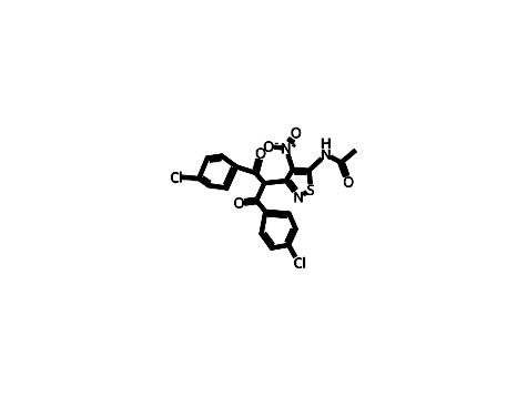 CC(=O)Nc1snc(C(C(=O)c2ccc(Cl)cc2)C(=O)c2ccc(Cl)cc2)c1[N+](=O)[O-]